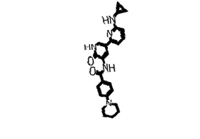 O=C(Nc1cc(-c2cccc(NC3CC3)n2)c[nH]c1=O)c1ccc(N2CCCCC2)cc1